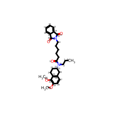 CCCN(C(=O)CCCCCN1C(=O)c2ccccc2C1=O)[C@H]1CCc2c(ccc(OC)c2OC)C1